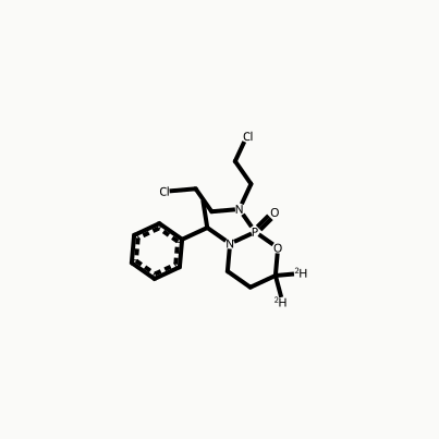 [2H]C1([2H])CCN(C(C)c2ccccc2)P(=O)(N(CCCl)CCCl)O1